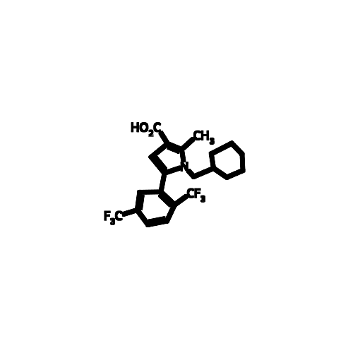 Cc1c(C(=O)O)cc(-c2cc(C(F)(F)F)ccc2C(F)(F)F)n1CC1CCCCC1